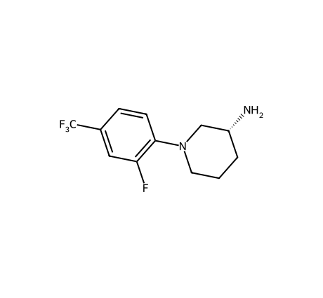 N[C@@H]1CCCN(c2ccc(C(F)(F)F)cc2F)C1